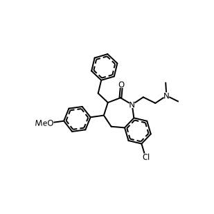 COc1ccc(C2Cc3cc(Cl)ccc3N(CCN(C)C)C(=O)C2Cc2ccccc2)cc1